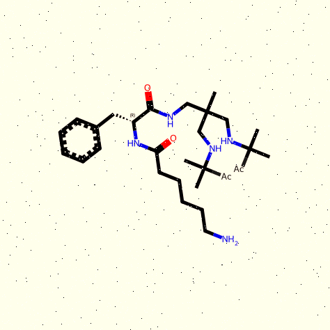 CC(=O)C(C)(C)NCC(C)(CNC(=O)[C@@H](Cc1ccccc1)NC(=O)CCCCCN)CNC(C)(C)C(C)=O